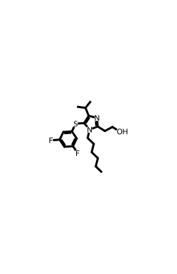 CCCCCCn1c(CCO)nc(C(C)C)c1Sc1cc(F)cc(F)c1